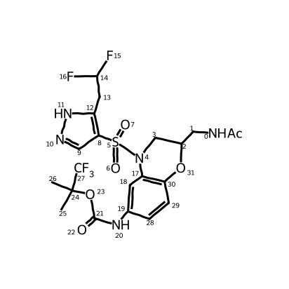 CC(=O)NCC1CN(S(=O)(=O)c2cn[nH]c2CC(F)F)c2cc(NC(=O)OC(C)(C)C(F)(F)F)ccc2O1